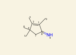 CC1=C(C)C(C)(C)CC1=N